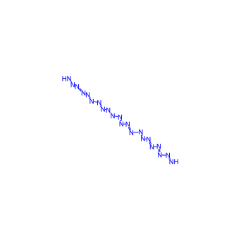 N=N/N=N/N=N/N=N/N=N/N=N/N=N/N=N/N=N/N=N/N=N